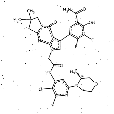 C[C@H]1COCCN1c1cc(NC(=O)Cn2cc(-c3cc(C(N)=O)c(O)c(F)c3F)c3c(=O)n4c(nc32)CC(C)(C)C4)c(Cl)c(F)n1